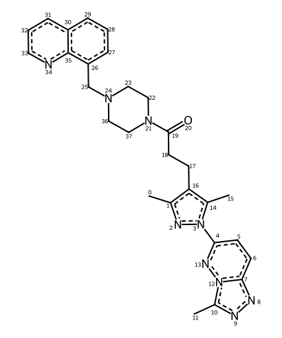 Cc1nn(-c2ccc3nnc(C)n3n2)c(C)c1CCC(=O)N1CCN(Cc2cccc3cccnc23)CC1